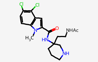 CC(=O)NCCC1(NC(=O)c2cc3c(Cl)c(Cl)ccc3n2C)CCCNC1